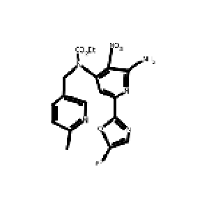 CCOC(=O)N(Cc1ccc(C)nc1)c1cc(-c2ncc(C(C)C)o2)nc(N)c1[N+](=O)[O-]